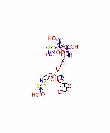 CSCC[C@@H](NC(=O)[C@@H](Cc1ccc(O)cc1)NC(=O)[C@@H](CC(=O)O)NC(=O)CCOCCOCCN(CCN(C)C(=O)CC(C)(C)C1=C(C)C(=O)C(C)=C(C)C1=O)C(O)Oc1ccc2nc(C3=NC(C(=O)O)CS3)sc2c1)C(=O)NCC(C)=O